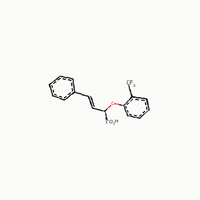 O=C(O)[C@@H](C=Cc1ccccc1)Oc1ccccc1C(F)(F)F